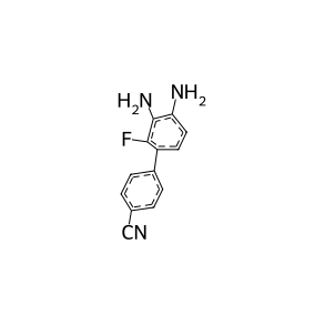 N#Cc1ccc(-c2ccc(N)c(N)c2F)cc1